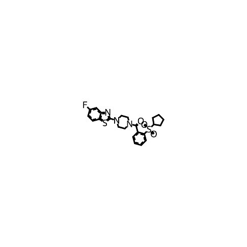 O=C(c1ccccc1S(=O)(=O)C1CCCC1)N1CCN(c2nc3cc(F)ccc3s2)CC1